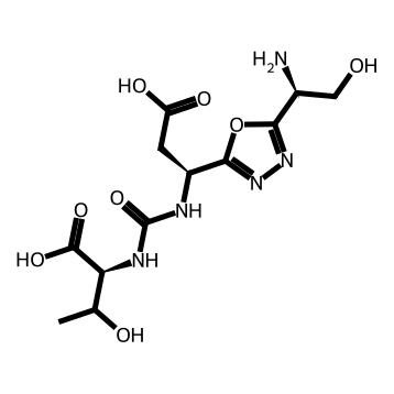 CC(O)[C@H](NC(=O)N[C@@H](CC(=O)O)c1nnc([C@@H](N)CO)o1)C(=O)O